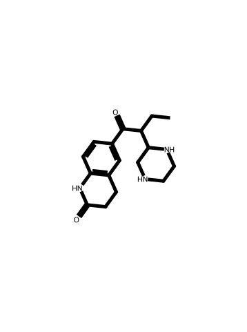 CCC(C(=O)c1ccc2c(c1)CCC(=O)N2)C1CNCCN1